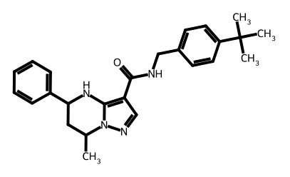 CC1CC(c2ccccc2)Nc2c(C(=O)NCc3ccc(C(C)(C)C)cc3)cnn21